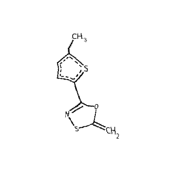 C=C1OC(c2ccc(C)s2)=NS1